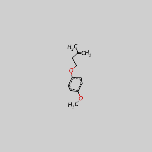 C=C(C)CCOc1ccc(OC)cc1